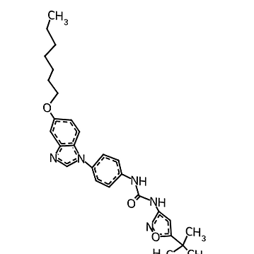 CCCCCCCOc1ccc2c(c1)ncn2-c1ccc(NC(=O)Nc2cc(C(C)(C)C)on2)cc1